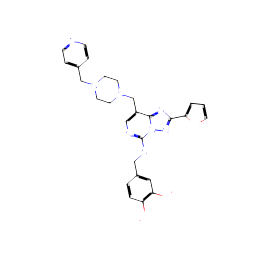 COc1ccc(CNc2ncc(CN3CCN(Cc4ccncc4)CC3)c3nc(-c4ccco4)nn23)cc1OC